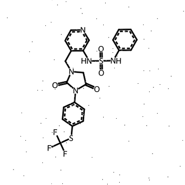 O=C1CN(Cc2ccncc2NS(=O)(=O)Nc2ccccc2)C(=O)N1c1ccc(SC(F)(F)F)cc1